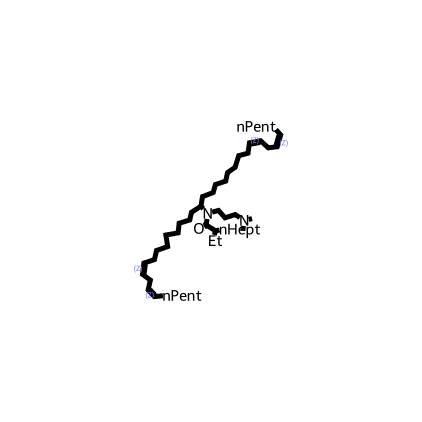 CCCCC/C=C\C/C=C\CCCCCCCCC(CCCCCCCC/C=C\C/C=C\CCCCC)N(CCCN(C)C)C(=O)C(CC)CCCCCCC